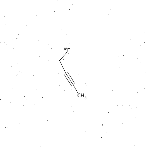 CC#CC[18F]